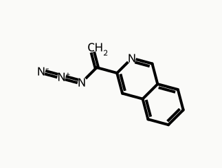 C=C(N=[N+]=[N-])c1cc2ccccc2cn1